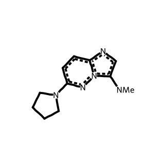 CNc1cnc2ccc(N3CCCC3)nn12